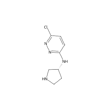 Clc1ccc(N[C@@H]2CCNC2)nn1